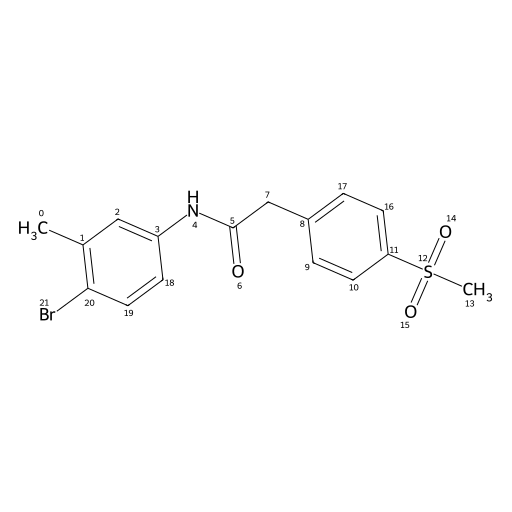 Cc1cc(NC(=O)Cc2ccc(S(C)(=O)=O)cc2)ccc1Br